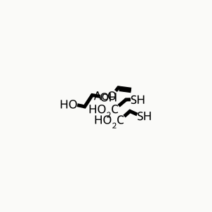 C=COC(C)=O.O=C(O)CS.O=C(O)CS.OCCO